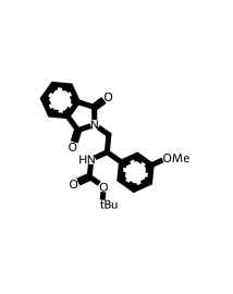 COc1cccc(C(CN2C(=O)c3ccccc3C2=O)NC(=O)OC(C)(C)C)c1